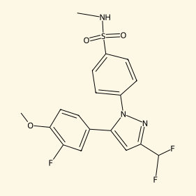 CNS(=O)(=O)c1ccc(-n2nc(C(F)F)cc2-c2ccc(OC)c(F)c2)cc1